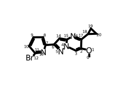 COc1cn2nc(-c3cccc(Br)n3)cc2nc1C1CC1